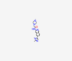 Cc1ncc(-c2ccc3cnc(NC(=O)CN4CCN(C)CC4)cc3c2)n1C